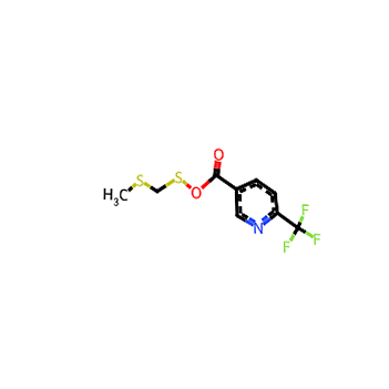 CSCSOC(=O)c1ccc(C(F)(F)F)nc1